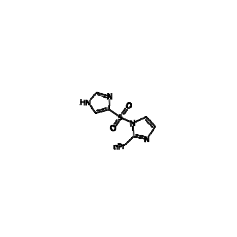 CCCc1nccn1S(=O)(=O)c1c[nH]cn1